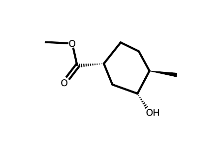 COC(=O)[C@@H]1CC[C@@H](C)[C@H](O)C1